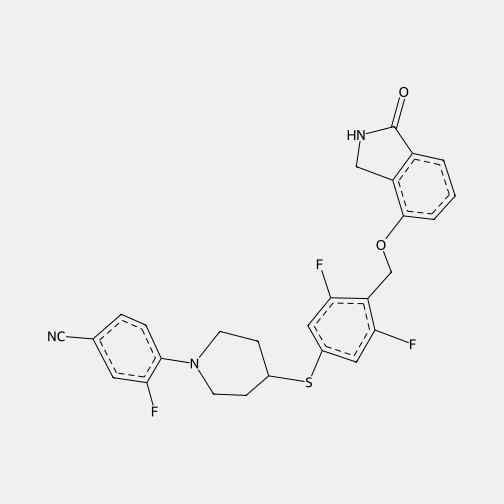 N#Cc1ccc(N2CCC(Sc3cc(F)c(COc4cccc5c4CNC5=O)c(F)c3)CC2)c(F)c1